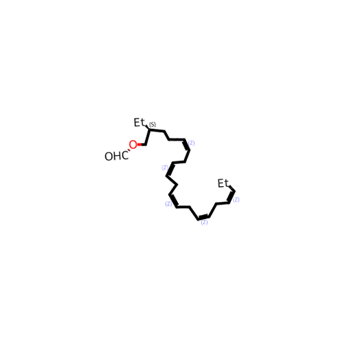 CC/C=C\C/C=C\C/C=C\C/C=C\C/C=C\CC[C@H](CC)COC=O